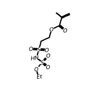 C=C(C)C(=O)OCCS(=O)(=O)NS(=O)(=O)OCC